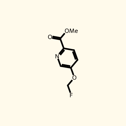 COC(=O)c1ccc(OCF)cn1